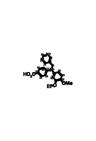 CCOc1nc(N(Cc2cncnc2)c2ccc(C(=O)O)cc2)ccc1OC